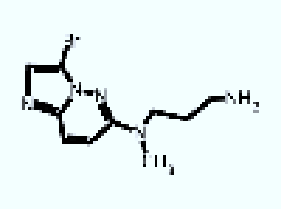 CN(CCCN)c1ccc2ncc(Br)n2n1